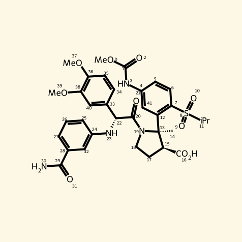 COC(=O)Nc1ccc(S(=O)(=O)C(C)C)c([C@@]2(C)[C@@H](C(=O)O)CCN2C(=O)[C@H](Nc2cccc(C(N)=O)c2)c2ccc(OC)c(OC)c2)c1